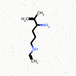 C=CNCCCC(N)C(=C)C